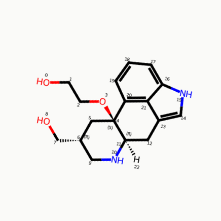 OCCO[C@]12C[C@@H](CO)CN[C@@H]1Cc1c[nH]c3cccc2c13